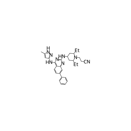 CCC1CC(Nc2nc(Nc3cc(C)[nH]n3)c3ccc(-c4ccccc4)cc3n2)CC(CC)N1CCC#N